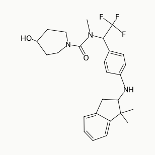 CN(C(=O)N1CCC(O)CC1)C(c1ccc(NC2Cc3ccccc3C2(C)C)cc1)C(F)(F)F